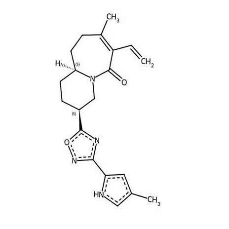 C=CC1=C(C)CC[C@@H]2CC[C@H](c3nc(-c4cc(C)c[nH]4)no3)CN2C1=O